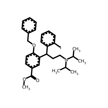 COC(=O)c1ccc(OCc2ccccc2)c(C(CCN(C(C)C)C(C)C)c2ccccc2I)c1